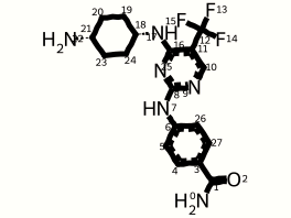 NC(=O)c1ccc(Nc2ncc(C(F)(F)F)c(N[C@H]3CC[C@@H](N)CC3)n2)cc1